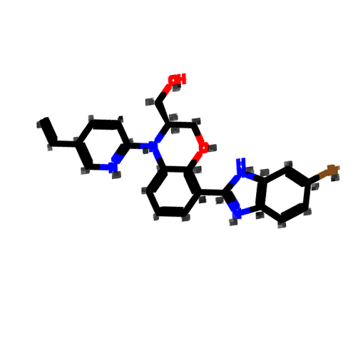 C=Cc1ccc(N2c3cccc(-c4nc5ccc(Br)cc5[nH]4)c3OC[C@@H]2CO)nc1